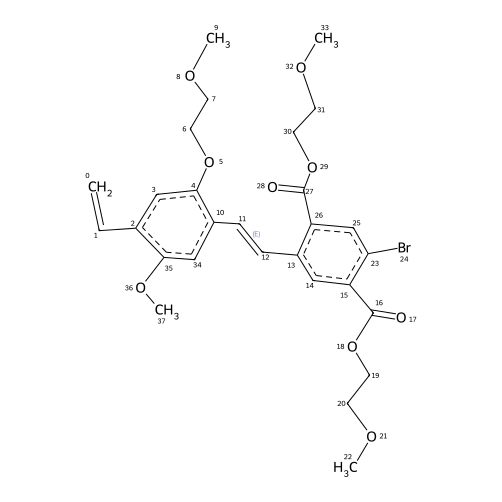 C=Cc1cc(OCCOC)c(/C=C/c2cc(C(=O)OCCOC)c(Br)cc2C(=O)OCCOC)cc1OC